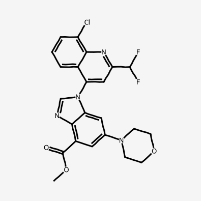 COC(=O)c1cc(N2CCOCC2)cc2c1ncn2-c1cc(C(F)F)nc2c(Cl)cccc12